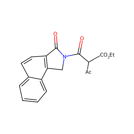 CCOC(=O)C(C(C)=O)C(=O)N1Cc2c(ccc3ccccc23)C1=O